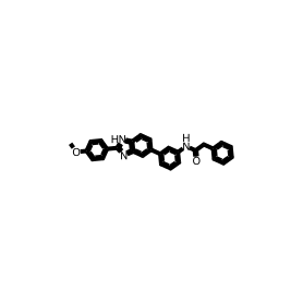 COc1ccc(-c2nc3cc(-c4cccc(NC(=O)Cc5ccccc5)c4)ccc3[nH]2)cc1